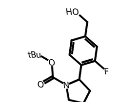 CC(C)(C)OC(=O)N1CCCC1c1ccc(CO)cc1F